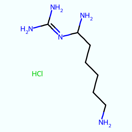 Cl.NCCCCCC(N)N=C(N)N